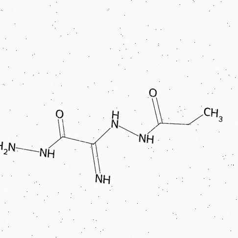 CCC(=O)NNC(=N)C(=O)NN